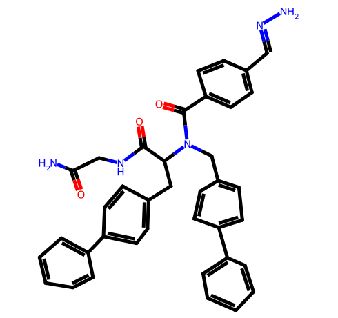 NN=Cc1ccc(C(=O)N(Cc2ccc(-c3ccccc3)cc2)C(Cc2ccc(-c3ccccc3)cc2)C(=O)NCC(N)=O)cc1